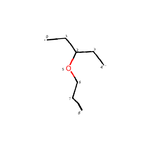 [CH2]CC(C[CH2])OCCC